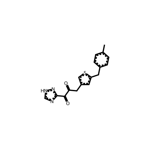 Cc1ccc(Cc2cc(CC(=O)C(=O)c3nc[nH]n3)cs2)cc1